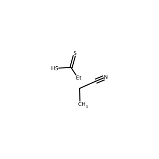 CCC#N.CCC(=S)S